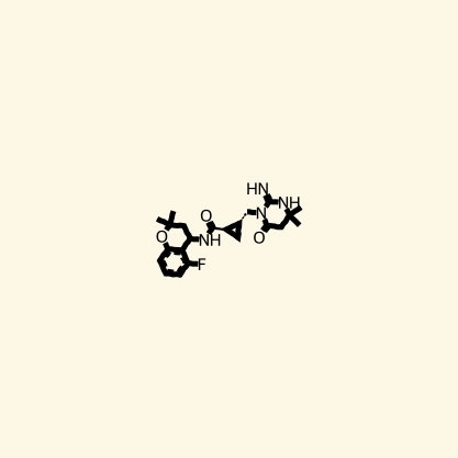 CC1(C)CC(=O)N(C[C@@H]2C[C@H]2C(=O)NC2CC(C)(C)Oc3cccc(F)c32)C(=N)N1